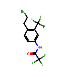 O=C(Nc1ccc(CCBr)c(C(F)(F)F)c1)C(F)(F)F